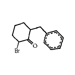 O=C1C(Br)CCCC1Cc1ccccc1